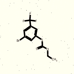 CCOC(=S)Sc1cc(Br)cc(C(F)(F)F)c1